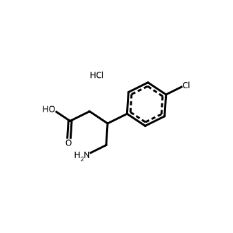 Cl.NCC(CC(=O)O)c1ccc(Cl)cc1